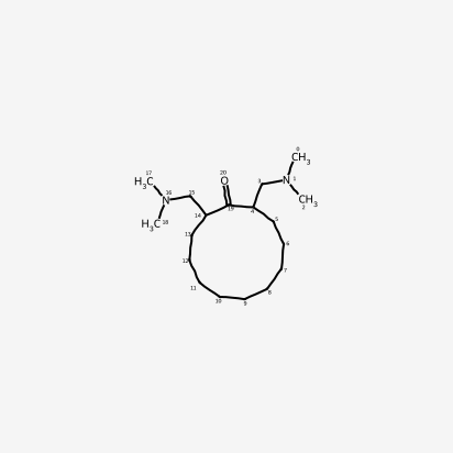 CN(C)CC1CCCCCCCCCC(CN(C)C)C1=O